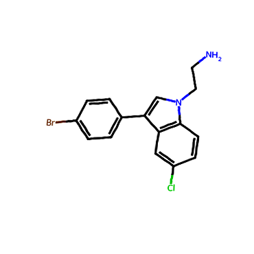 NCCn1cc(-c2ccc(Br)cc2)c2cc(Cl)ccc21